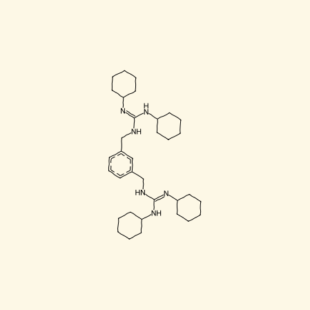 c1cc(CNC(=NC2CCCCC2)NC2CCCCC2)cc(CNC(=NC2CCCCC2)NC2CCCCC2)c1